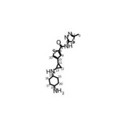 Cc1nnc(NC(=O)c2cc(C3CC3NC3CCC(N)CC3)cs2)s1